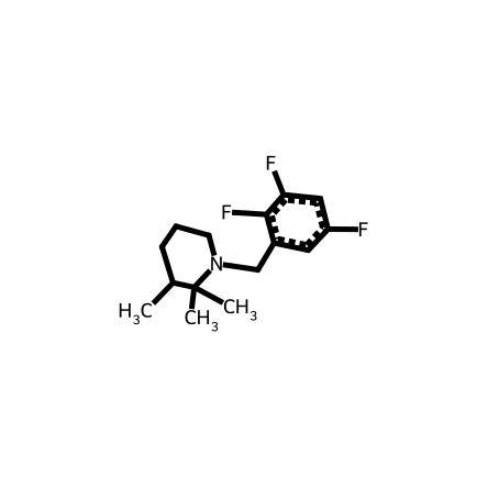 CC1CCCN(Cc2cc(F)cc(F)c2F)C1(C)C